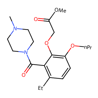 CCCOc1ccc(CC)c(C(=O)N2CCN(C)CC2)c1OCC(=O)OC